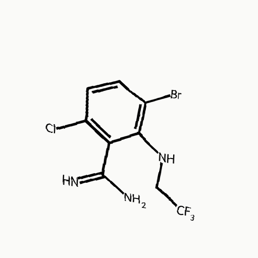 N=C(N)c1c(Cl)ccc(Br)c1NCC(F)(F)F